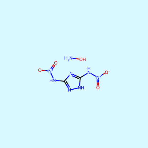 NO.O=[N+]([O-])Nc1n[nH]c(N[N+](=O)[O-])n1